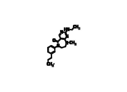 [CH2]CCc1cccc(N2CCN(C)c3nc(NCC)ncc3C2=O)c1